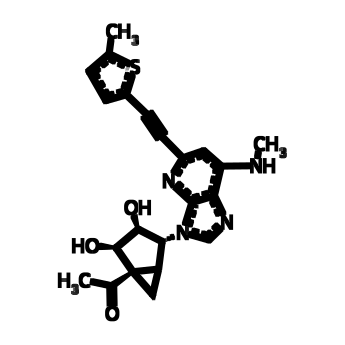 CNc1cc(C#Cc2ccc(C)s2)nc2c1ncn2[C@@H]1C2C[C@]2(C(C)=O)[C@@H](O)[C@H]1O